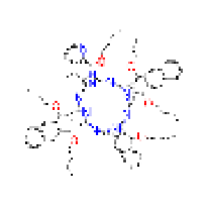 CCCCOc1c2c(c(OCCCC)c3cc4ccccc4cc13)-c1nc-2nc2[nH]c(nc3nc(nc4[nH]c(n1)c1c(C)c5cccnc5c(OCCCC)c41)-c1c-3c(OCCCC)c3cc4ccccc4cc3c1OCCCC)c1c(OCCCC)c3ccccc3c(C)c21